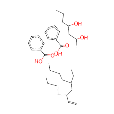 C=CC(CCCC)CC(CC)CCCC.CCCC(O)CC(C)O.O=C(O)c1ccccc1.O=C(O)c1ccccc1